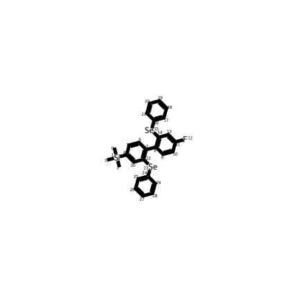 C[Si](C)(C)c1ccc(-c2ccc(F)cc2[Se]c2ccccc2)c([Se]c2ccccc2)c1